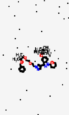 C[C@H](OCCOCCn1cc(-c2nn(C3CCCCO3)c3ccc(O[Si](C)(C)C(C)(C)C)cc23)cn1)[C@H](C)OCc1ccccc1